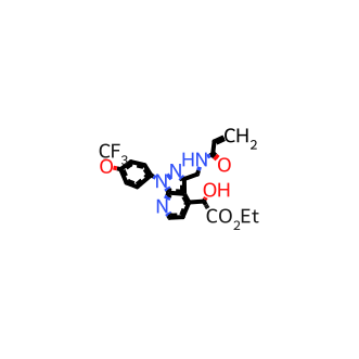 C=CC(=O)NCc1nn(-c2ccc(OC(F)(F)F)cc2)c2nccc(C(O)C(=O)OCC)c12